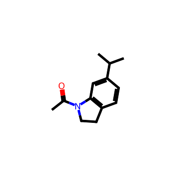 CC(=O)N1CCc2ccc(C(C)C)cc21